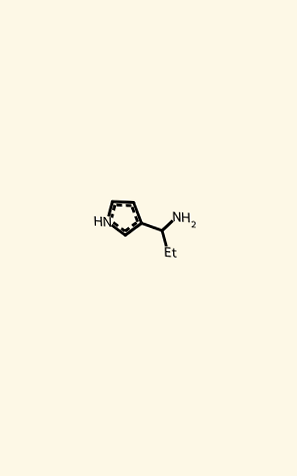 CCC(N)c1cc[nH]c1